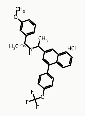 COc1cccc([C@@H](C)NC(C)c2cc(-c3ccc(OC(F)(F)F)cc3)c3ccccc3c2)c1.Cl